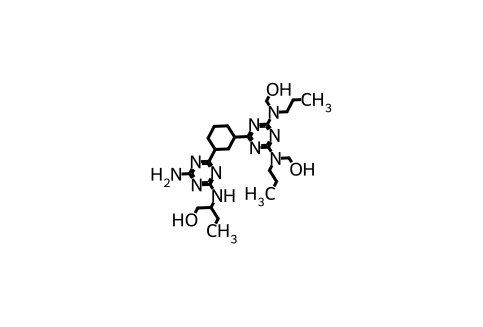 CCCN(CO)c1nc(C2CCCC(c3nc(N)nc(NC(CC)CO)n3)C2)nc(N(CO)CCC)n1